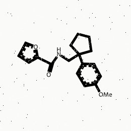 COc1ccc(C2(CNC(=O)c3ccco3)CCCC2)cc1